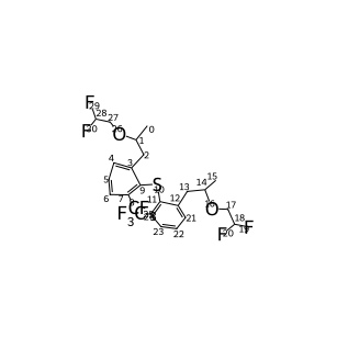 CC(Cc1cccc(C(F)(F)F)c1Sc1c(CC(C)OCC(F)F)cccc1C(F)(F)F)OCC(F)F